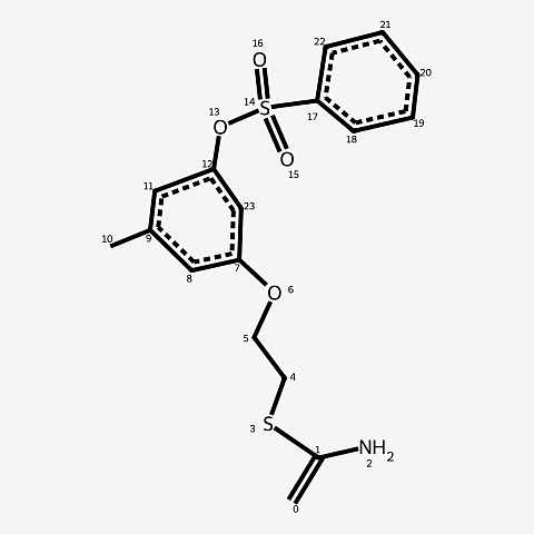 C=C(N)SCCOc1cc(C)cc(OS(=O)(=O)c2ccccc2)c1